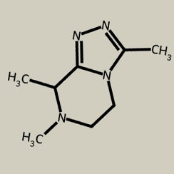 Cc1nnc2n1CCN(C)C2C